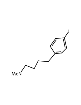 CNCCCCc1ccc(I)cc1